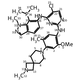 COc1cc(N2CCC3(CC2)CN(C)C3)c(C)cc1Nc1ncc(Cl)c(Nc2ccc3cnn(C)c3c2P(C)C)n1